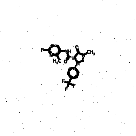 Cc1nc(F)ccc1NC(=O)[C@@H]1C(=O)N(C)C[C@H]1c1ccc(C(F)(F)F)cc1